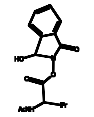 CC(=O)NC(C(=O)ON1C(=O)c2ccccc2C1O)C(C)C